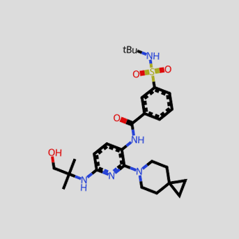 CC(C)(C)NS(=O)(=O)c1cccc(C(=O)Nc2ccc(NC(C)(C)CO)nc2N2CCC3(CC2)CC3)c1